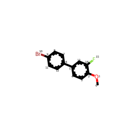 COc1ccc(-c2ccc(Br)cc2)cc1F